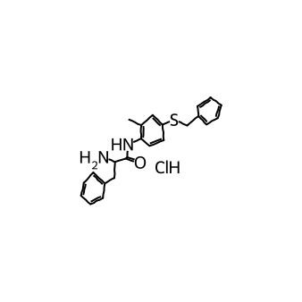 Cc1cc(SCc2ccccc2)ccc1NC(=O)C(N)Cc1ccccc1.Cl